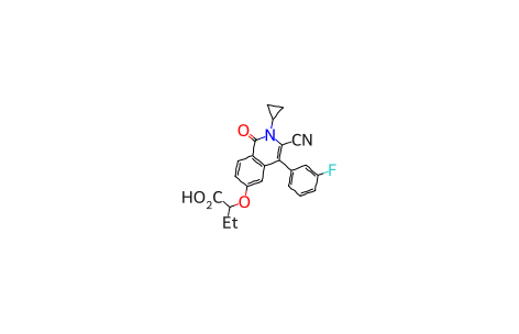 CCC(Oc1ccc2c(=O)n(C3CC3)c(C#N)c(-c3cccc(F)c3)c2c1)C(=O)O